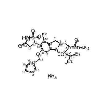 CCC(CC)CN(C[C@H]1Cc2c(cc(OCc3ccccc3)c(N3CC(=O)NS3(=O)=O)c2F)N1C(=O)O)C(=O)OC(C)(C)C.N